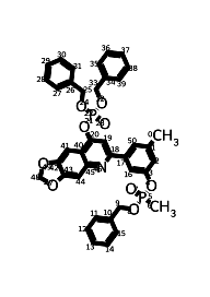 Cc1cc(OP(C)(=O)OCc2ccccc2)cc(-c2cc(OP(=O)(OCc3ccccc3)OCc3ccccc3)c3cc4c(cc3n2)OCO4)c1